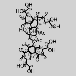 CC(=O)N(CC(O)(CO)CN(C(C)=O)c1c(I)c(C(=O)N(C)CC(O)CO)c(I)c(C(=O)N(C)CC(O)CO)c1I)c1cc(C(=O)N(C)CC(O)CO)c(I)c(C(=O)N(C)CC(O)CO)c1I